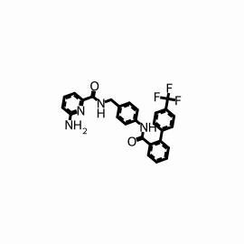 Nc1cccc(C(=O)NCc2ccc(NC(=O)c3ccccc3-c3ccc(C(F)(F)F)cc3)cc2)n1